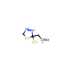 COCC1(S)N=NCS1